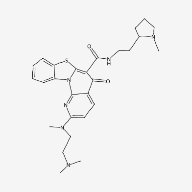 CN(C)CCN(C)c1ccc2c(=O)c(C(=O)NCCC3CCCN3C)c3sc4ccccc4n3c2n1